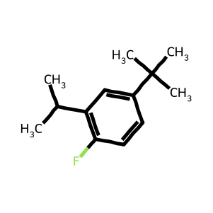 CC(C)c1cc(C(C)(C)C)ccc1F